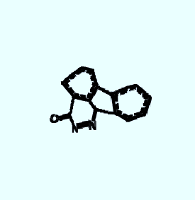 O=C1N=NC2c3ccccc3-c3cccc1c32